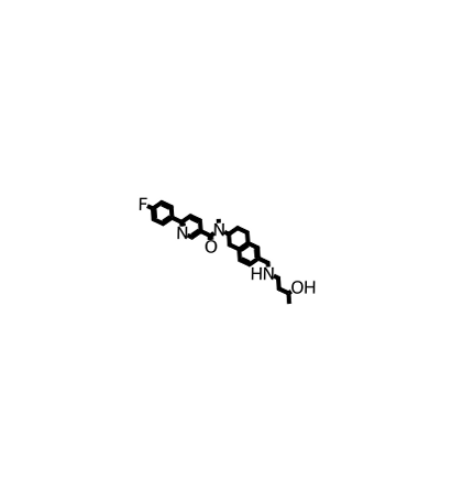 CC(O)CCNCc1ccc2c(c1)CCC(N(C)C(=O)c1ccc(-c3ccc(F)cc3)nc1)C2